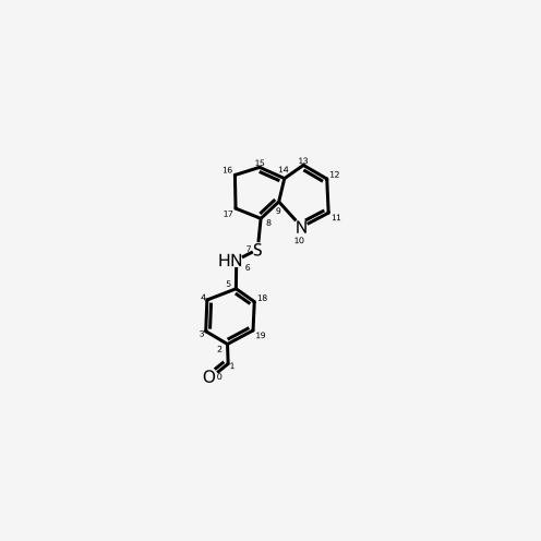 O=Cc1ccc(NSC2=c3ncccc3=CCC2)cc1